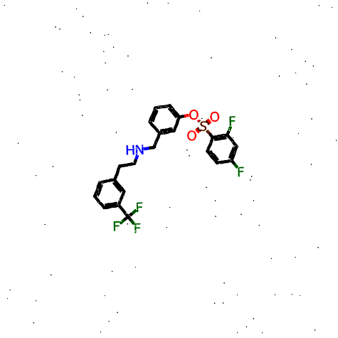 O=S(=O)(Oc1cccc(CNCCc2cccc(C(F)(F)F)c2)c1)c1ccc(F)cc1F